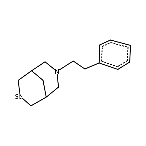 c1ccc(CCN2CC3C[Se]CC(C3)C2)cc1